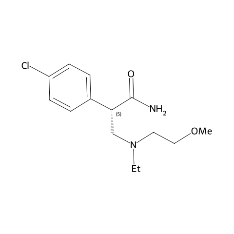 CCN(CCOC)C[C@@H](C(N)=O)c1ccc(Cl)cc1